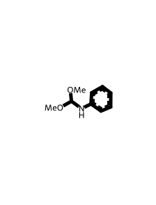 COC(Nc1ccccc1)OC